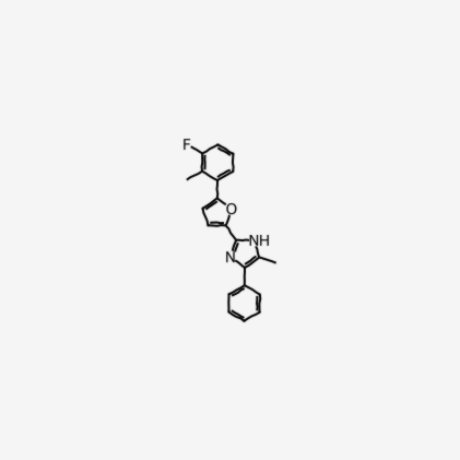 Cc1[nH]c(-c2ccc(-c3cccc(F)c3C)o2)nc1-c1ccccc1